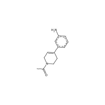 CC(=O)N1CC=C(c2cc[c]c(N)c2)CC1